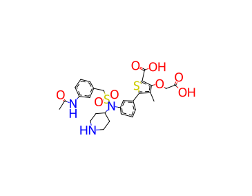 CC(=O)Nc1cccc(CS(=O)(=O)N(c2cccc(-c3sc(C(=O)O)c(OCC(=O)O)c3C)c2)C2CCNCC2)c1